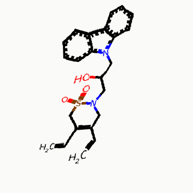 C=CC1=C(C=C)CS(=O)(=O)N(CC(O)Cn2c3ccccc3c3ccccc32)C1